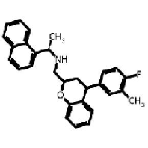 Cc1cc(C2CC(CN[C@H](C)c3cccc4ccccc34)Oc3ccccc32)ccc1F